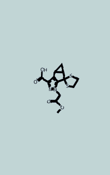 COC(=O)Cn1nc(C(=O)O)c2c1C1(SCCS1)C1CC21